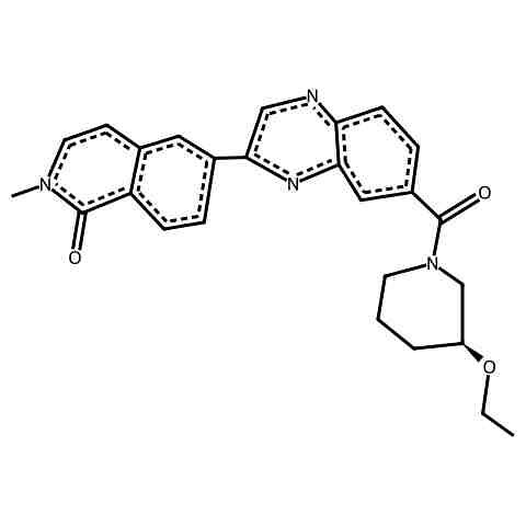 CCO[C@H]1CCCN(C(=O)c2ccc3ncc(-c4ccc5c(=O)n(C)ccc5c4)nc3c2)C1